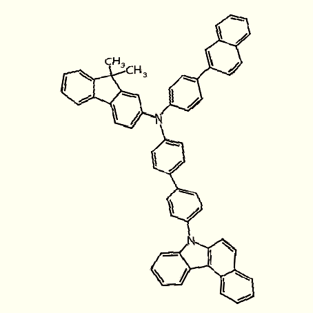 CC1(C)c2ccccc2-c2ccc(N(c3ccc(-c4ccc(-n5c6ccccc6c6c7ccccc7ccc65)cc4)cc3)c3ccc(-c4ccc5ccccc5c4)cc3)cc21